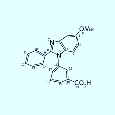 COc1ccc2c(c1)nc(-c1ccccc1)n2-c1cccc(C(=O)O)c1